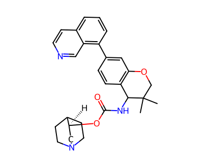 CC1(C)COc2cc(-c3cccc4ccncc34)ccc2C1NC(=O)O[C@H]1CN2CCC1CC2